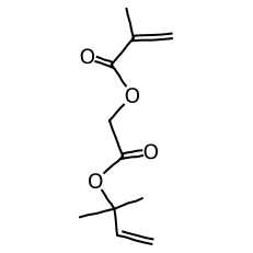 C=CC(C)(C)OC(=O)COC(=O)C(=C)C